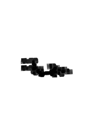 COC(=O)CC[C@H](NC(=O)c1ccc(C#Cc2cnc3nc(NC(=O)C(C)(C)C)nc(O)c3c2)s1)C(=O)OC